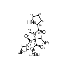 CC(C)CNC(=O)[C@@](CC(C)C)(C(=O)OC(C)(C)C)N(C)C(=O)[C@@H]1CCCN1